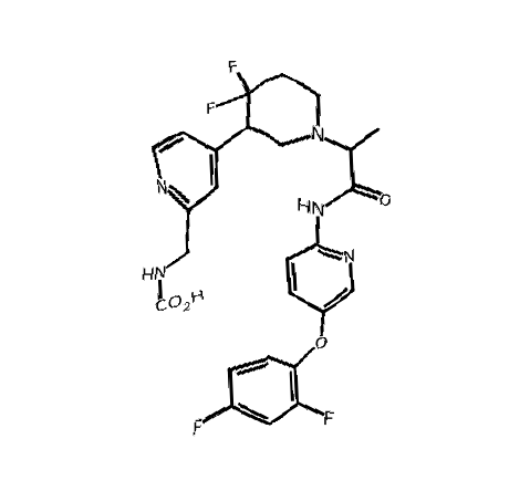 CC(C(=O)Nc1ccc(Oc2ccc(F)cc2F)cn1)N1CCC(F)(F)C(c2ccnc(CNC(=O)O)c2)C1